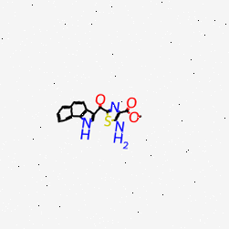 COC(=O)c1nc(C(=O)c2c[nH]c3c2ccc2ccccc23)sc1N